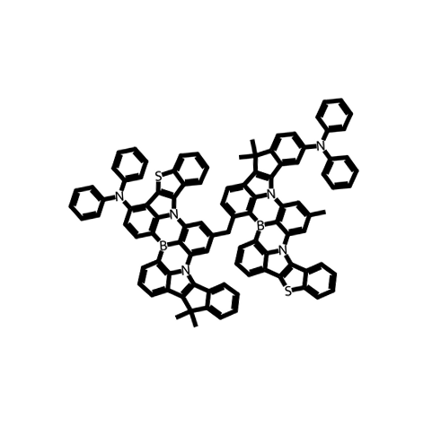 Cc1cc2c3c(c1)-n1c4c(cccc4c4sc5ccccc5c41)B3c1c(Cc3cc4c5c(c3)-n3c6c(ccc(N(c7ccccc7)c7ccccc7)c6c6sc7ccccc7c63)B5c3cccc5c6c(n-4c35)-c3ccccc3C6(C)C)ccc3c4c(n-2c13)-c1cc(N(c2ccccc2)c2ccccc2)ccc1C4(C)C